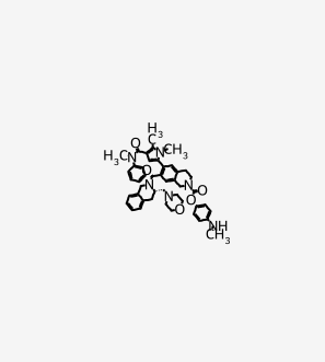 CNc1ccc(OC(=O)N2CCc3cc(-c4cc(C(=O)N(C)c5ccccc5)c(C)n4C)c(C(=O)N4Cc5ccccc5C[C@H]4CN4CCOCC4)cc3C2)cc1